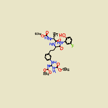 CC(C)[C@H](NC(=O)OC(C)(C)C)C(=O)NC(CCc1cccc(NC(=NC(=O)OC(C)(C)C)NC(=O)OC(C)(C)C)c1)C(=O)Nc1cc(F)ccc1O